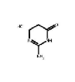 Cl.NC1=NCCC(=O)N1